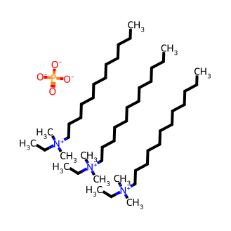 CCCCCCCCCCCC[N+](C)(C)CC.CCCCCCCCCCCC[N+](C)(C)CC.CCCCCCCCCCCC[N+](C)(C)CC.O=P([O-])([O-])[O-]